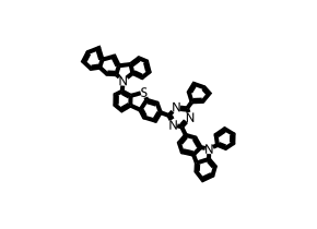 c1ccc(-c2nc(-c3ccc4c(c3)sc3c(-n5c6ccccc6c6cc7ccccc7cc65)cccc34)nc(-c3ccc4c5ccccc5n(-c5ccccc5)c4c3)n2)cc1